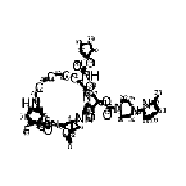 C=C[C@@H]1C[C@@]12NC(=O)[C@@H]1C[C@@H](OC(=O)N3CCN(c4cccc(C)n4)CC3)CN1C(=O)[C@@H](NC(=O)OC1CCCC1)CCCCCCCNc1ccc(F)cc1S(=O)(=O)NC2=O